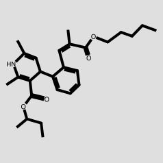 CCCCCOC(=O)C(C)=Cc1ccccc1C1C=C(C)NC(C)=C1C(=O)OC(C)CC